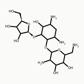 NCC1OC(OC2C(N)CC(N)C(O)C2O[C@@H]2O[C@H](CO)C(O)C2O)C(N)C(O)C1O